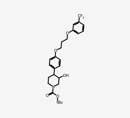 CC(C)(C)OC(=O)N1CCC(c2ccc(OCCCOc3cccc(C(F)(F)F)c3)cc2)C(O)C1